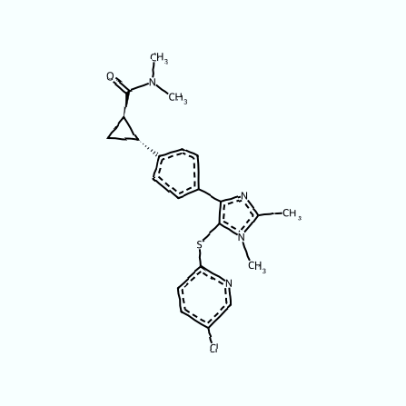 Cc1nc(-c2ccc([C@@H]3C[C@H]3C(=O)N(C)C)cc2)c(Sc2ccc(Cl)cn2)n1C